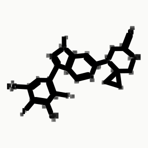 Cn1nc(-c2cc(C(F)(F)F)c(F)c(O)c2F)c2cnc(N3CC(=O)NCC34CC4)cc21